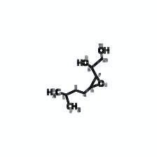 CC(C)CCC1OC1C(O)CO